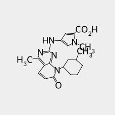 Cc1nc(Nc2cc(C(=O)O)n(C)c2)nc2c1ccc(=O)n2C1CCCC(C)C1